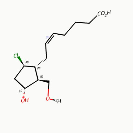 [2H]OC[C@@H]1[C@@H](C/C=C\CCCC(=O)O)[C@H](Cl)C[C@H]1O